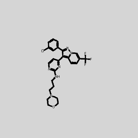 FC(F)(F)c1ccc2c(-c3ccnc(NCCCN4CCOCC4)n3)c(-c3cccc(Cl)c3)nn2c1